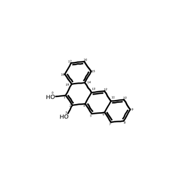 Oc1c(O)c2cc3ccccc3cc2c2ccccc12